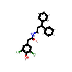 O=C(Cc1cc(Cl)c(O)c(Cl)c1)NCCC(c1ccccc1)c1ccccc1